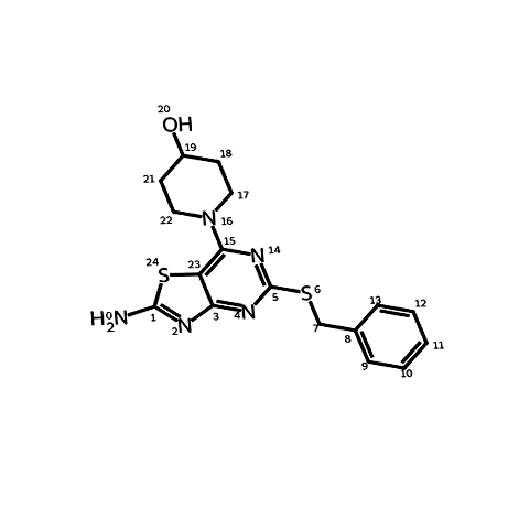 Nc1nc2nc(SCc3ccccc3)nc(N3CCC(O)CC3)c2s1